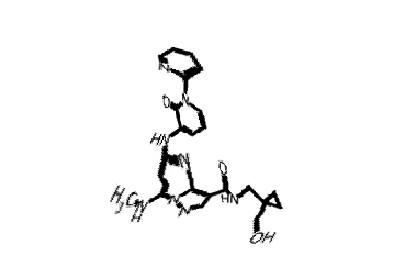 CNc1cc(Nc2cccn(-c3ccccn3)c2=O)nc2c(C(=O)NCC3(CO)CC3)cnn12